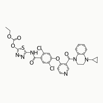 CCOC(=O)Oc1nnc(NC(=O)c2cc(Cl)c(Oc3ccncc3C(=O)N3CCN(C4CC4)c4ccccc43)cc2Cl)s1